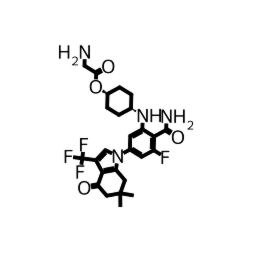 CC1(C)CC(=O)c2c(C(F)(F)F)cn(-c3cc(F)c(C(N)=O)c(N[C@H]4CC[C@H](OC(=O)CN)CC4)c3)c2C1